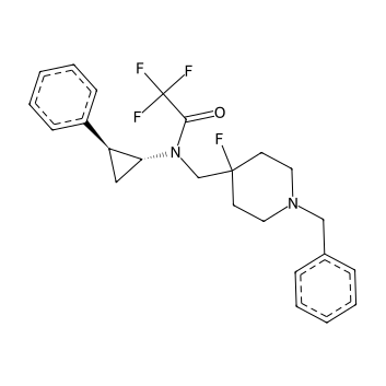 O=C(N(CC1(F)CCN(Cc2ccccc2)CC1)[C@@H]1C[C@H]1c1ccccc1)C(F)(F)F